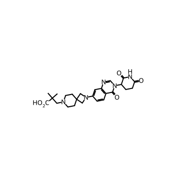 CC(C)(CN1CCC2(CC1)CN(c1ccc3c(=O)n(C4CCC(=O)NC4=O)cnc3c1)C2)C(=O)O